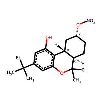 CCC(C)(C)c1cc(O)c2c(c1)OC(C)(C)[C@@H]1CC[C@@H](O[N+](=O)[O-])C[C@@H]21